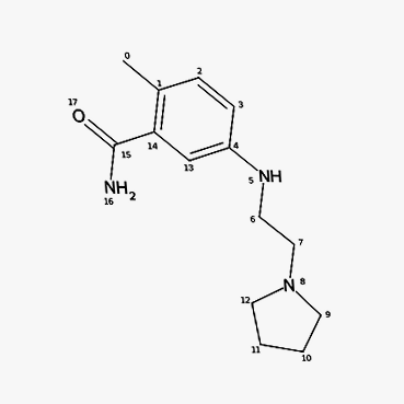 Cc1ccc(NCCN2CCCC2)cc1C(N)=O